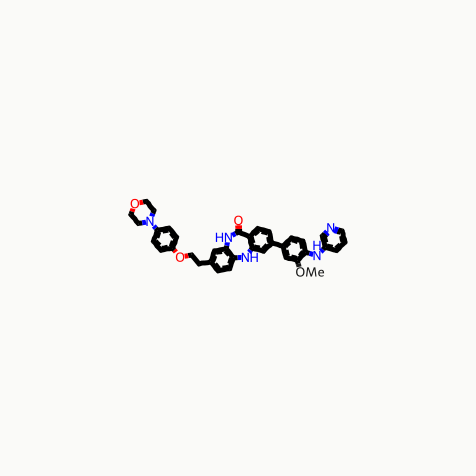 COc1cc(-c2ccc3c(c2)Nc2ccc(CCOc4ccc(N5CCOCC5)cc4)cc2NC3=O)ccc1Nc1cccnc1